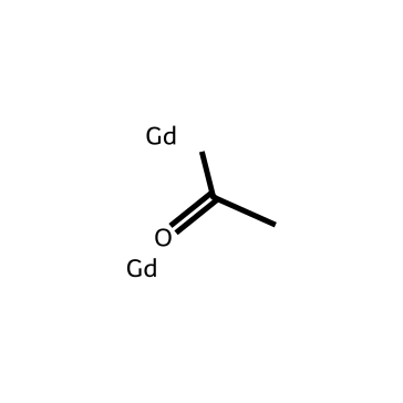 CC(C)=O.[Gd].[Gd]